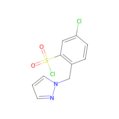 O=S(=O)(Cl)c1cc(Cl)ccc1Cn1cccn1